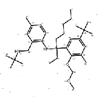 CCCCCC(CC)(Pc1ccc(C)cc1CNC(C)(C)C)c1cc(C(C)(C)C)cc(C)c1OCOC